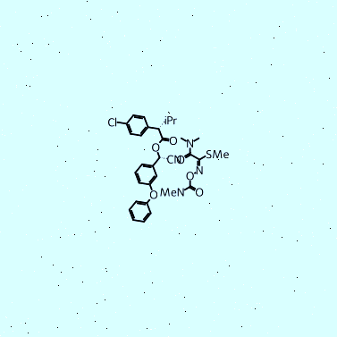 CC(C)[C@H](C(=O)O[C@H](C#N)c1cccc(Oc2ccccc2)c1)c1ccc(Cl)cc1.CNC(=O)ON=C(SC)C(=O)N(C)C